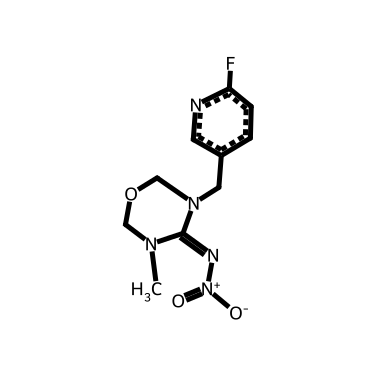 CN1COCN(Cc2ccc(F)nc2)C1=N[N+](=O)[O-]